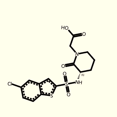 O=C(O)CN1CCC[C@H](NS(=O)(=O)c2cc3cc(Cl)ccc3s2)C1=O